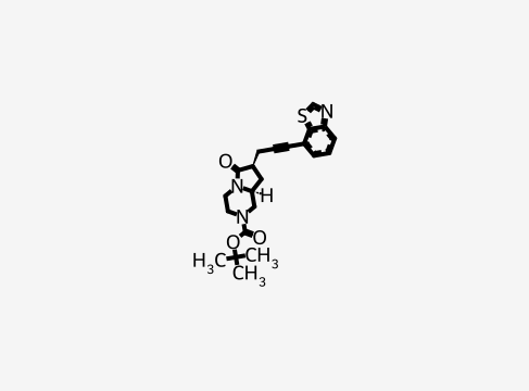 CC(C)(C)OC(=O)N1CCN2C(=O)[C@@H](CC#Cc3cccc4ncsc34)C[C@H]2C1